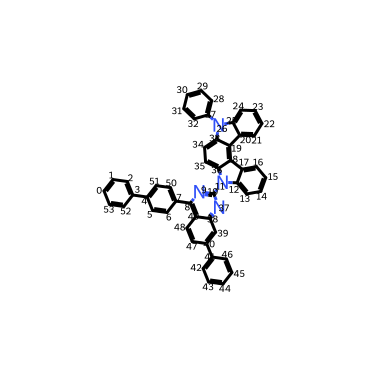 c1ccc(-c2ccc(-c3nc(-n4c5ccccc5c5c6c7ccccc7n(-c7ccccc7)c6ccc54)nc4cc(-c5ccccc5)ccc34)cc2)cc1